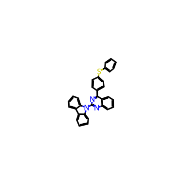 c1ccc(Sc2ccc(-c3nc(-n4c5ccccc5c5ccccc54)nc4ccccc34)cc2)cc1